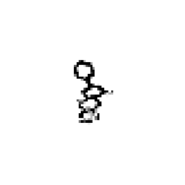 Fc1cc(-c2ccccc2)cc(F)c1Cc1ncsn1